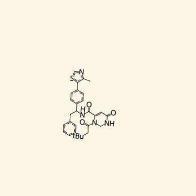 Cc1ncsc1-c1ccc(C(Cc2ccccc2)NC(=O)C2=CC(=O)NCN2C(=O)CC(C)(C)C)cc1